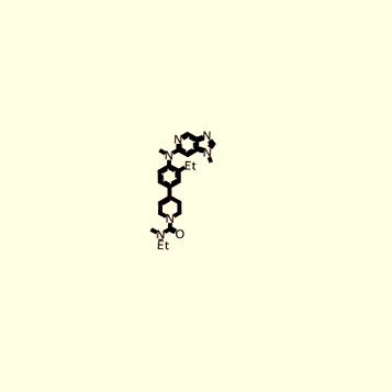 CCc1cc(C2=CCN(C(=O)N(C)CC)CC2)ccc1N(C)c1cc2c(cn1)ncn2C